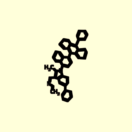 C=C/N=C\c1c(C)n(-c2ccc(-c3c4ccccc4c(-c4ccccc4)c4ccccc34)c3ccccc23)c2ccc(-c3ccccc3)cc12